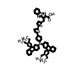 CCCCC1(CCCC)c2ccccc2-c2ccc(N(c3ccc(-c4ccc(-c5ccc(/C=c6/c(C(=O)O)nn7c6nc6ccccc67)s5)s4)cc3)c3ccc4c(c3)C(CCCC)(CCCC)c3ccccc3-4)cc21